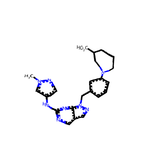 Cn1cc(Nc2ncc3cnn(Cc4cccc(N5CCCC(C(=O)O)C5)c4)c3n2)cn1